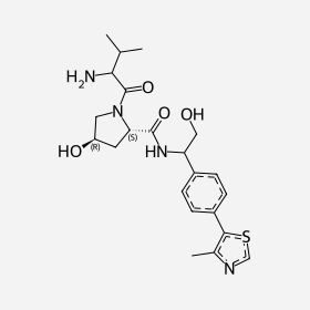 Cc1ncsc1-c1ccc(C(CO)NC(=O)[C@@H]2C[C@@H](O)CN2C(=O)C(N)C(C)C)cc1